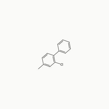 Cc1ccc(-c2ccccc2)c(Cl)c1